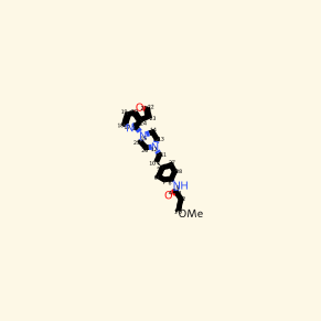 COCCC(=O)N[C@H]1CC[C@H](CCN2CCN(c3nccc4occc34)CC2)CC1